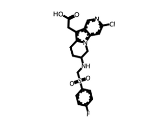 O=C(O)Cc1c2n(c3cc(Cl)ncc13)CC(NCS(=O)(=O)c1ccc(F)cc1)CC2